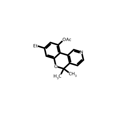 CCc1cc(OC(C)=O)c2c(c1)OC(C)(C)c1ccncc1-2